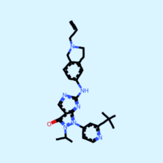 C=CCN1CCc2cc(Nc3ncc4c(=O)n(C(C)C)n(-c5ccnc(C(C)(C)C)c5)c4n3)ccc2C1